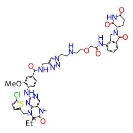 CC[C@@H]1C(=O)N(C)c2cnc(Nc3ccc(C(=O)NCc4cn(CCNCCOCC(=O)Nc5cccc6c5CN(C5CCC(=O)NC5=O)C6=O)nn4)cc3OC)nc2N1Cc1ccc(Cl)s1